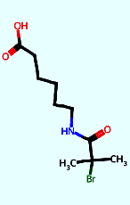 CC(C)(Br)C(=O)NCCCCCC(=O)O